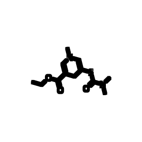 CCOC(=O)C1=CN(C)C=C(SC(=O)N(C)C)C1